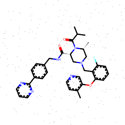 Cc1ccncc1Oc1cccc(F)c1CN1C[C@@H](C)N(C(=O)C(C)C)[C@@H](C(=O)NCc2ccc(-c3ncccn3)cc2)C1